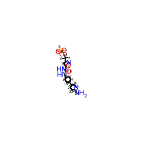 CC(C)(COS(C)(=O)=O)c1cc(NC(=O)Nc2ccc(-c3ccc(N)nc3)cc2)on1